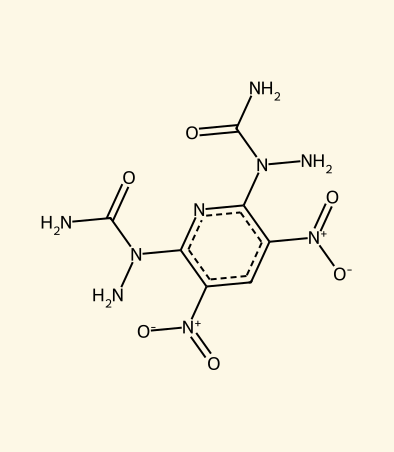 NC(=O)N(N)c1nc(N(N)C(N)=O)c([N+](=O)[O-])cc1[N+](=O)[O-]